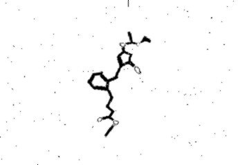 CCOC(C)OC1C=C(Cc2ccccc2CCCC(=O)OC)C(=O)C1